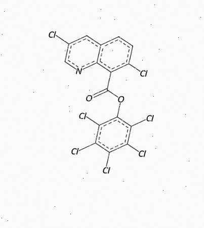 O=C(Oc1c(Cl)c(Cl)c(Cl)c(Cl)c1Cl)c1c(Cl)ccc2cc(Cl)cnc12